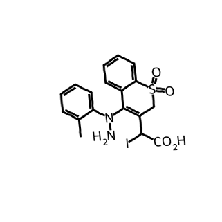 Cc1ccccc1N(N)C1=C(C(I)C(=O)O)CS(=O)(=O)c2ccccc21